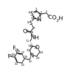 O=C(O)Cc1csc(SCC(=O)NC[C@H]2CN(CC3C=C(F)C(F)=CC3)CCO2)n1